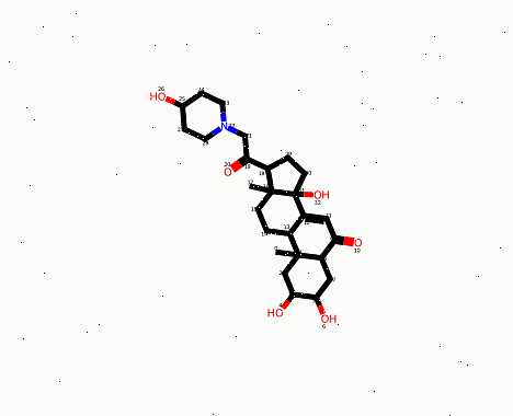 CC12CC(O)C(O)CC1C(=O)C=C1C2CCC2(C)C(C(=O)CN3CCC(O)CC3)CCC12O